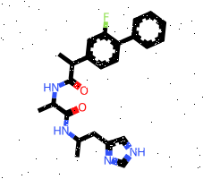 CC(Cc1c[nH]cn1)NC(=O)C(C)NC(=O)C(C)c1ccc(-c2ccccc2)c(F)c1